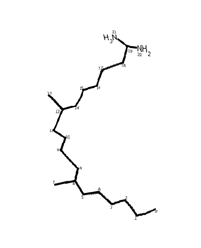 CCCCCCC(C)CCCCC(C)CCCCCC(N)N